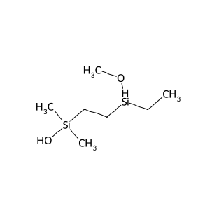 CC[SiH](CC[Si](C)(C)O)OC